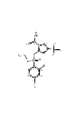 CCOP(=O)(Cc1cc(C(C)(C)C)sc1C(=O)O)c1ccc(Cl)cc1C